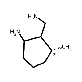 C[C@@H]1CCCC(N)C1CN